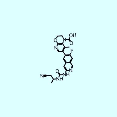 Cc1c(-c2cc3cc(NC(=O)NC(C)CC#N)ncc3cc2F)cnc2c1N(C(=O)O)CCO2